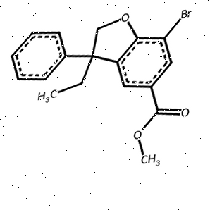 CCC1(c2ccccc2)COc2c(Br)cc(C(=O)OC)cc21